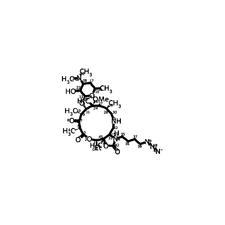 CC[C@H]1OC(=O)[C@H](C)C(=O)[C@H](C)[C@@H](O[C@@H]2OC(C)CC(N(C)C)C2O)[C@](C)(OC)C[C@@H](C)CNC[C@H]2N(CCCCN=[N+]=[N-])C(=O)O[C@]12C